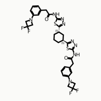 O=C(Cc1cccc(N2CC(F)(F)C2)c1)Nc1nnc([C@H]2CCC[C@H](c3nnc(NC(=O)Cc4cccc(N5CC(F)(F)C5)c4)s3)C2)s1